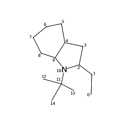 CCC1CC2CCCCC2N1C(C)(C)C